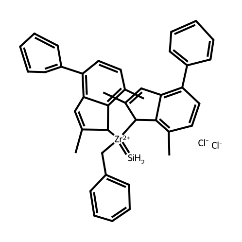 CC1=Cc2c(-c3ccccc3)ccc(C)c2[CH]1[Zr+2](=[SiH2])([CH2]c1ccccc1)[CH]1C(C)=Cc2c(-c3ccccc3)ccc(C)c21.[Cl-].[Cl-]